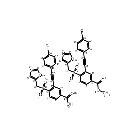 COC(=O)c1ccc(S(=O)(=O)Cc2cnco2)c(C#Cc2ccc(F)cc2)c1.O=C(O)c1ccc(S(=O)(=O)Cc2cnco2)c(C#Cc2ccc(F)cc2)c1